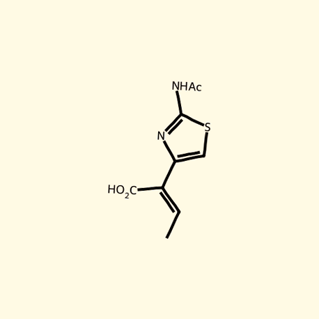 CC=C(C(=O)O)c1csc(NC(C)=O)n1